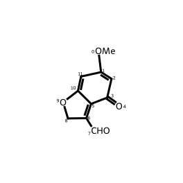 COC1=CC(=O)C2=C(C=O)COC2=C1